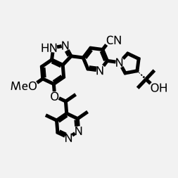 COc1cc2[nH]nc(-c3cnc(N4CC[C@H](C(C)(C)O)C4)c(C#N)c3)c2cc1OC(C)c1c(C)cnnc1C